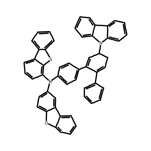 C1=C(c2ccccc2)C(c2ccc(N(c3ccc4oc5ccccc5c4c3)c3cccc4c3sc3ccccc34)cc2)=CC(n2c3ccccc3c3ccccc32)C1